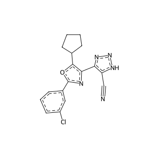 N#Cc1[nH]nnc1-c1nc(-c2cccc(Cl)c2)oc1C1CCCC1